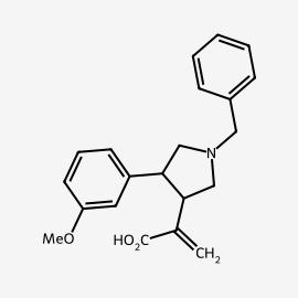 C=C(C(=O)O)C1CN(Cc2ccccc2)CC1c1cccc(OC)c1